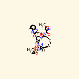 Cc1cc(C(=O)N[C@H]2CCCCCC=C[C@@H]3C[C@@]3(C(=O)NS(=O)(=O)C3(C)CC3)NC(=O)[C@@H]3C[C@@H](Oc4nc5c(F)cccc5nc4C)CN3C2=O)no1